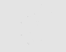 O=C1NC(=O)c2cc(OS(=O)(=O)C(F)(F)F)ccc21